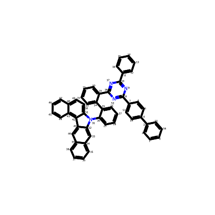 c1ccc(-c2ccc(-c3nc(-c4ccccc4)nc(-c4ccccc4-c4ccccc4-n4c5cc6ccccc6cc5c5c6ccccc6ccc54)n3)cc2)cc1